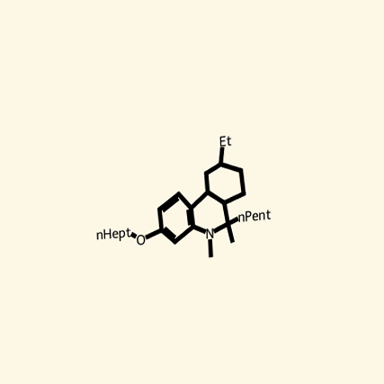 CCCCCCCOc1ccc2c(c1)N(C)C(C)(CCCCC)C1CCC(CC)CC21